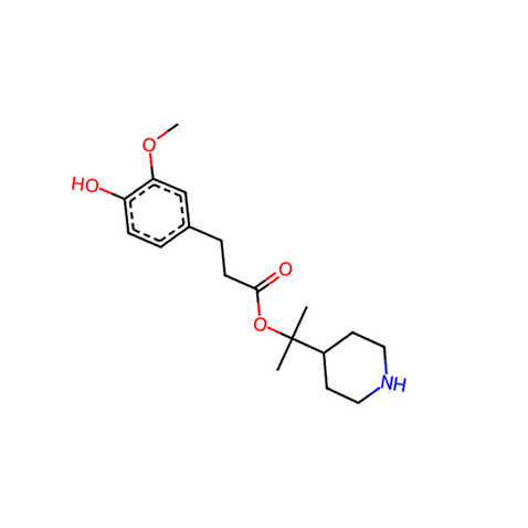 COc1cc(CCC(=O)OC(C)(C)C2CCNCC2)ccc1O